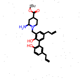 C=CCc1ccc(O)c(-c2cc(CC=C)cc(CN3CCC(C(=O)OC(C)(C)C)CC3N)c2O)c1